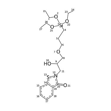 CCO[Si](CCCOCC(O)Cn1sc2ccccc2c1=O)(OCC)OCC